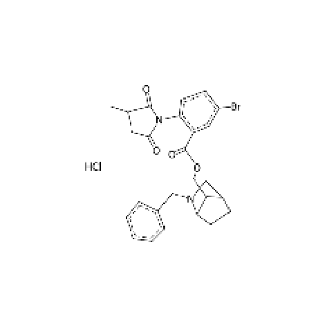 CC1CC(=O)N(c2ccc(Br)cc2C(=O)OCC2C3CCC2N(Cc2ccccc2)C3)C1=O.Cl